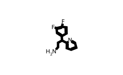 NCCC(c1ccc(F)c(F)c1)c1ccccn1